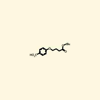 CC(C)(C)OC(=O)CCCOc1ccc(C(=O)O)cc1